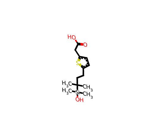 CC(C)(CCc1ccc(CC(=O)O)s1)[Si](C)(C)O